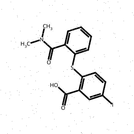 CN(C)C(=O)c1ccccc1Sc1ccc(I)cc1C(=O)O